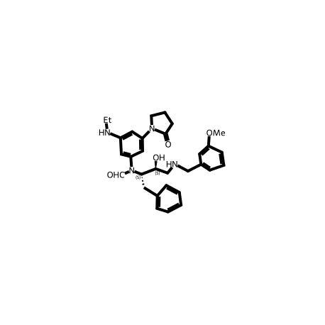 CCNc1cc(N2CCCC2=O)cc(N(C=O)[C@@H](Cc2ccccc2)[C@@H](O)CNCc2cccc(OC)c2)c1